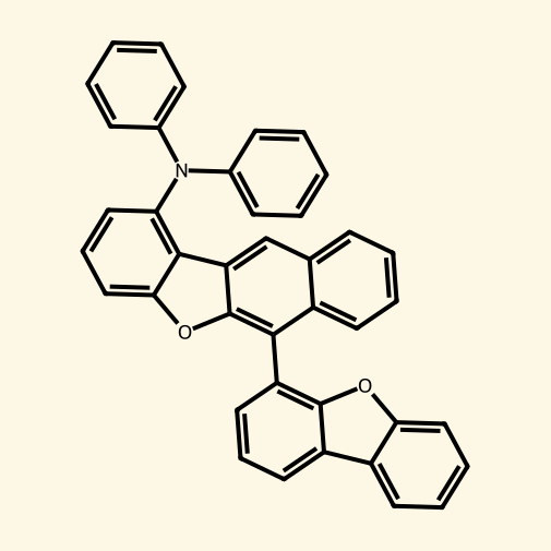 c1ccc(N(c2ccccc2)c2cccc3oc4c(-c5cccc6c5oc5ccccc56)c5ccccc5cc4c23)cc1